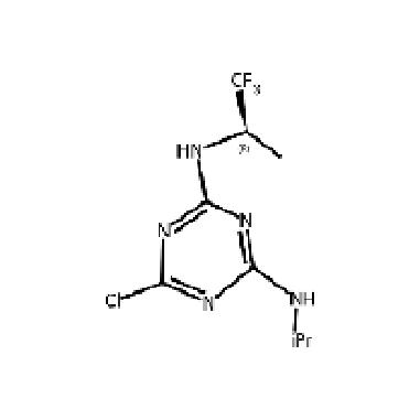 CC(C)Nc1nc(Cl)nc(N[C@H](C)C(F)(F)F)n1